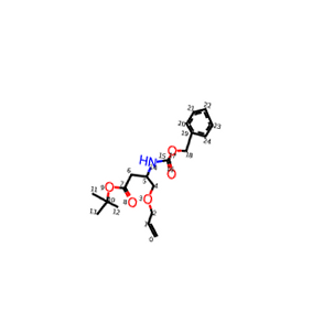 C=CCOCC(CC(=O)OC(C)(C)C)NC(=O)OCc1ccccc1